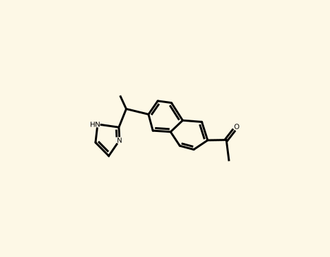 CC(=O)c1ccc2cc(C(C)c3ncc[nH]3)ccc2c1